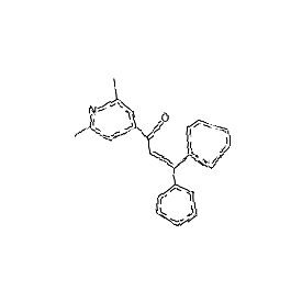 Cc1cc(C(=O)C=C(c2ccccc2)c2ccccc2)cc(C)n1